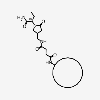 CC[C@H](C(N)=O)N1CC(CNC(=O)CCC(=O)NC2CCCCCCCCCCCCCCCCC2)CC1=O